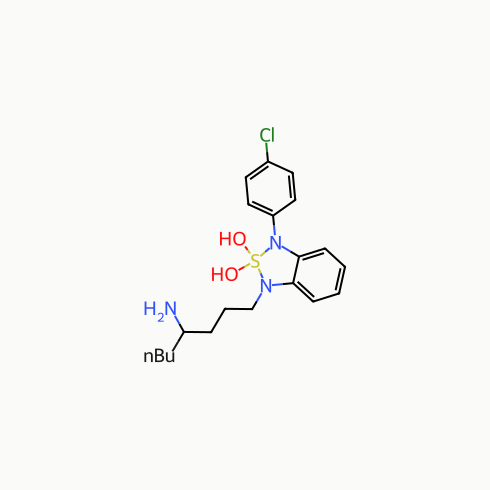 CCCCC(N)CCCN1c2ccccc2N(c2ccc(Cl)cc2)S1(O)O